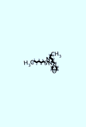 CCCCCCSc1nc(CC)cc(CN2CCOCC2)n1